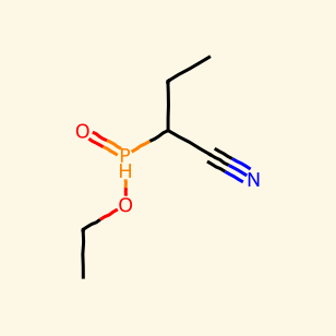 CCO[PH](=O)C(C#N)CC